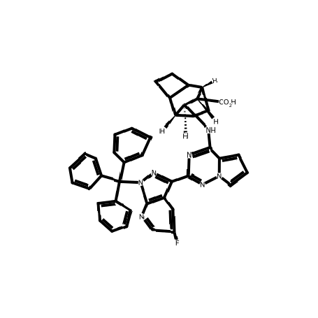 O=C(O)[C@@H]1[C@@H](Nc2nc(-c3nn(C(c4ccccc4)(c4ccccc4)c4ccccc4)c4ncc(F)cc34)nn3cccc23)[C@@H]2CC[C@H]1C1CCC12